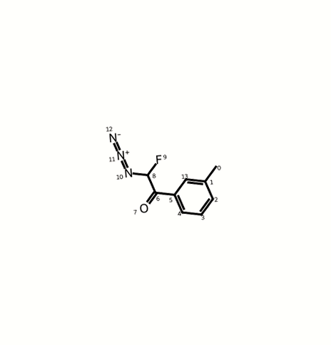 Cc1cccc(C(=O)C(F)N=[N+]=[N-])c1